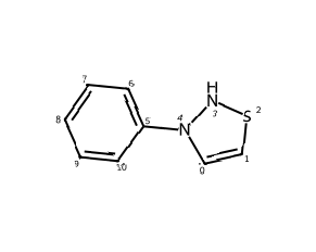 [C]1=CSNN1c1ccccc1